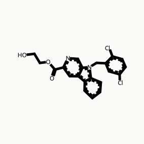 O=C(OCCO)c1cc2c3ccccc3n(Cc3cc(Cl)ccc3Cl)c2cn1